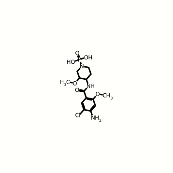 COc1cc(N)c(Cl)cc1C(=O)NC1CCN(P(=O)(O)O)CC1OC